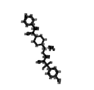 CC(C)(C(=O)NC[C@@H](N)C1CCC(C(=O)Nc2ccncc2)CC1)c1ccc(Cl)cc1